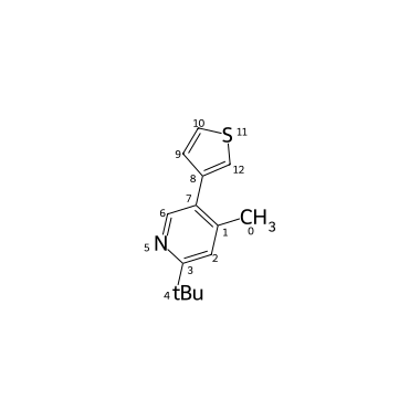 Cc1cc(C(C)(C)C)ncc1-c1ccsc1